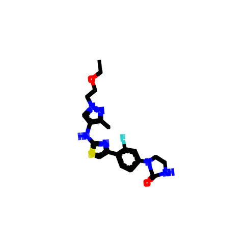 CCOCCn1cc(Nc2nc(-c3ccc(N4CCNC4=O)cc3F)cs2)c(C)n1